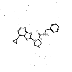 O=C(NCc1ccccc1)[C@H]1CSCN1c1nc2ncnc(C3CC3)c2s1